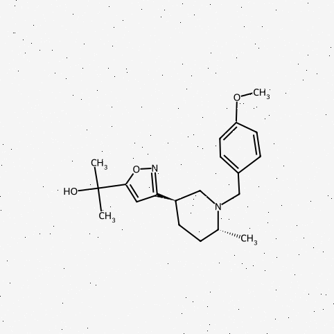 COc1ccc(CN2C[C@H](c3cc(C(C)(C)O)on3)CC[C@H]2C)cc1